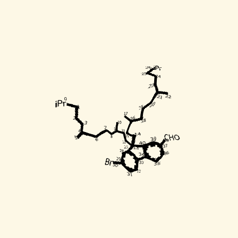 CC(C)CCCC(C)CCCC(C)CCC1(CCC(C)CCCC(C)CCCC(C)C)c2cc(Br)ccc2-c2ccc(C=O)cc21